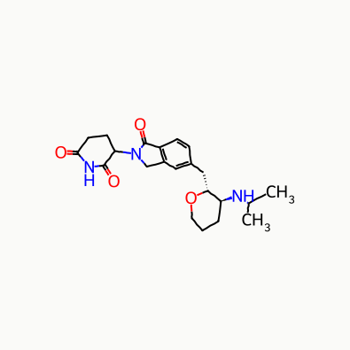 CC(C)N[C@H]1CCCO[C@@H]1Cc1ccc2c(c1)CN(C1CCC(=O)NC1=O)C2=O